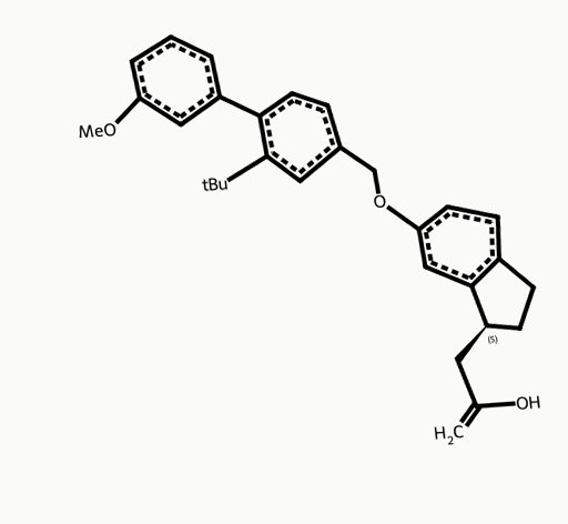 C=C(O)C[C@@H]1CCc2ccc(OCc3ccc(-c4cccc(OC)c4)c(C(C)(C)C)c3)cc21